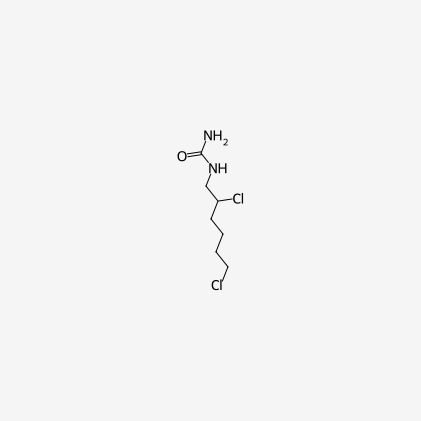 NC(=O)NCC(Cl)CCCCCl